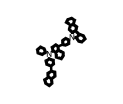 c1ccc(N(c2ccc(-c3ccc4ccccc4c3)cc2)c2ccc(-c3ccc(-n4c5ccccc5c5cc6ccccc6cc54)cc3)c3ccccc23)cc1